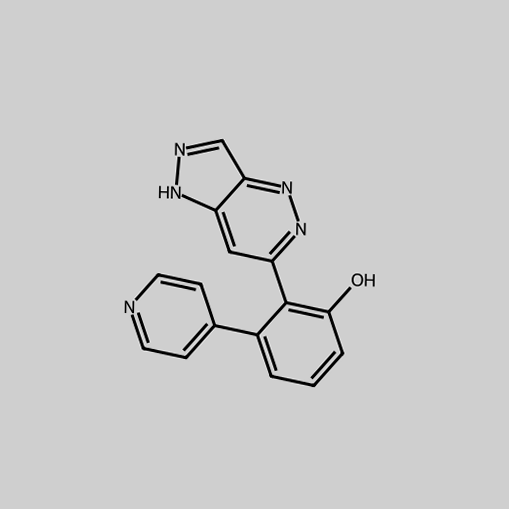 Oc1cccc(-c2ccncc2)c1-c1cc2[nH]ncc2nn1